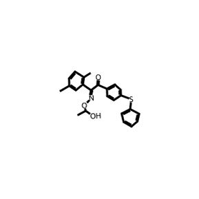 Cc1ccc(C)c(/C(=N\OC(C)O)C(=O)c2ccc(Sc3ccccc3)cc2)c1